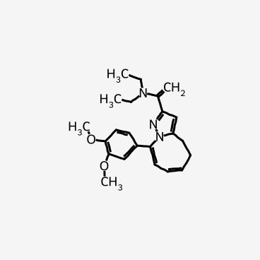 C=C(c1cc2n(n1)/C(c1ccc(OC)c(OC)c1)=C\C=C/CC2)N(CC)CC